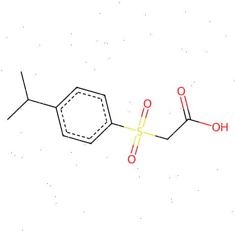 CC(C)c1ccc(S(=O)(=O)CC(=O)O)cc1